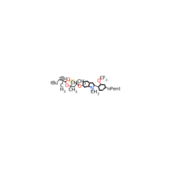 CCCCCc1ccc(-c2cc3ccc(OC(C)(S)CC(C)(C)OC(=O)C(C)(CC(C)(C)C)C(C)(C)C)cc3n2C)c(OC(F)(F)F)c1